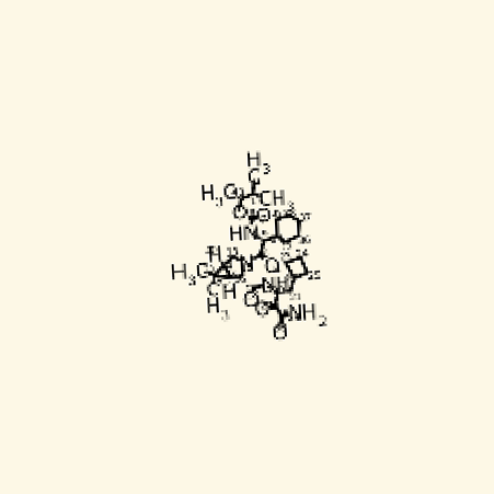 CC(C)[C@@H](C)OC(=O)N[C@H](C(=O)N1C[C@H]2[C@@H]([C@H]1C(=O)N[C@@H](CC1CCC1)C(=O)C(N)=O)C2(C)C)C1CCCCC1